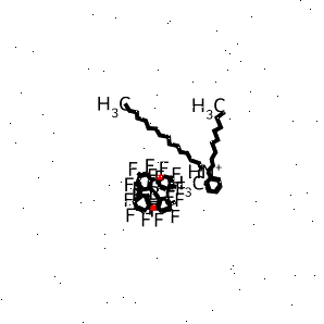 CCCCCCCCCCCCCCCC[NH+](CCCCCCCCCC)c1ccccc1C.Fc1c(F)c(F)c([B-](c2c(F)c(F)c(F)c(F)c2F)(c2c(F)c(F)c(F)c(F)c2F)c2c(F)c(F)c(F)c(F)c2F)c(F)c1F